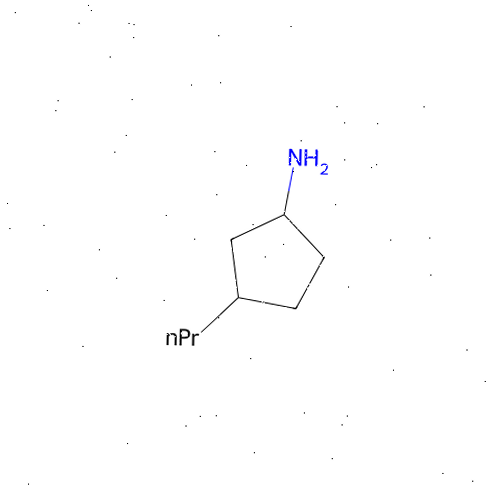 CCCC1CCC(N)C1